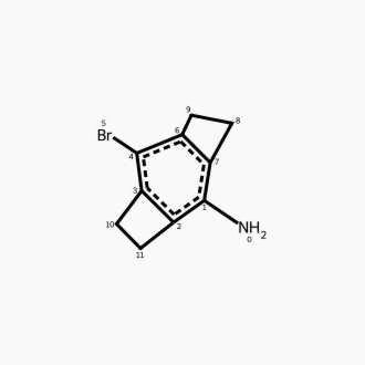 Nc1c2c(c(Br)c3c1CC3)CC2